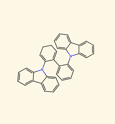 C1=C(c2ccccc2-n2c3ccccc3c3ccccc32)C(n2c3ccccc3c3ccccc32)=CCC1